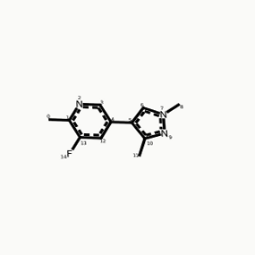 Cc1ncc(-c2cn(C)nc2C)cc1F